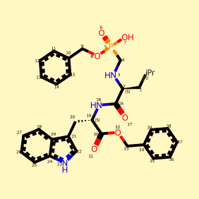 CC(C)C[C@H](NCP(=O)(O)OCc1ccccc1)C(=O)N[C@@H](Cc1c[nH]c2ccccc12)C(=O)OCc1ccccc1